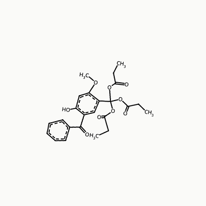 CCC(=O)OC(OC(=O)CC)(OC(=O)CC)c1cc(C(=O)c2ccccc2)c(O)cc1OC